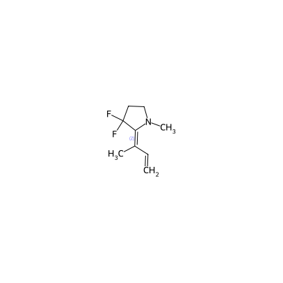 C=C/C(C)=C1\N(C)CCC1(F)F